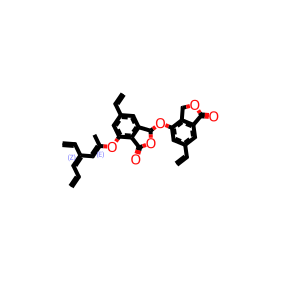 C=C/C=C(C=C)\C=C(/C)Oc1cc(C=C)cc2c1C(=O)OC2Oc1cc(C=C)cc2c1COC2=O